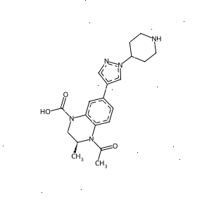 CC(=O)N1c2ccc(-c3cnn(C4CCNCC4)c3)cc2N(C(=O)O)C[C@@H]1C